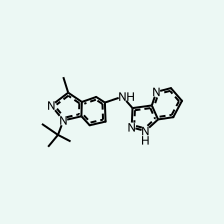 Cc1nn(C(C)(C)C)c2ccc(Nc3n[nH]c4cccnc34)cc12